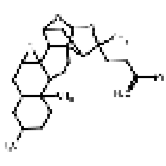 C=C(CCC1(C)OC2OC3CC1C21CCC2C4(C)CCC(C)CC4CC4OC42C31)C(C)C